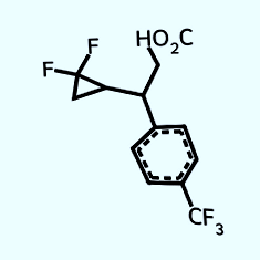 O=C(O)CC(c1ccc(C(F)(F)F)cc1)C1CC1(F)F